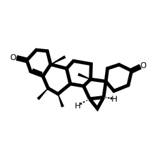 C[C@@H]1C2C(CC[C@@]3(C)C2[C@@H]2C[C@@H]2C32CCC(=O)CC2)[C@@]2(C)CCC(=O)C=C2[C@@H]1C